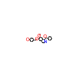 COc1ccc(COc2cc3ccnc(C(=O)c4ccccc4)c3cc2OC)cc1